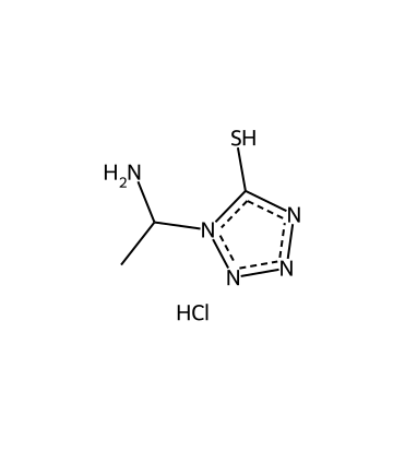 CC(N)n1nnnc1S.Cl